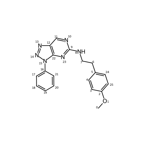 COc1ccc(CCNc2ncc3nnn(-c4ccccc4)c3n2)cc1